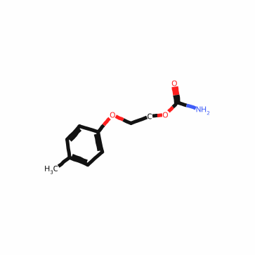 Cc1ccc(OCCOC(N)=O)cc1